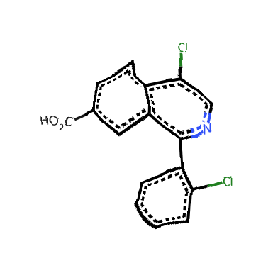 O=C(O)c1ccc2c(Cl)cnc(-c3ccccc3Cl)c2c1